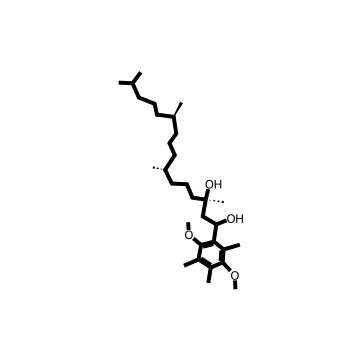 COc1c(C)c(C)c(OC)c(C(O)C[C@](C)(O)CCC[C@H](C)CCC[C@H](C)CCCC(C)C)c1C